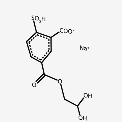 O=C(OCC(O)O)c1ccc(S(=O)(=O)O)c(C(=O)[O-])c1.[Na+]